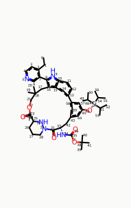 CCc1ccncc1-c1[nH]c2ccc3cc2c1CC(C)(C)COC(=O)[C@@H]1CCCN(N1)C(=O)[C@@H](NC(=O)OC(C)(C)C)Cc1cc(O[Si](C(C)C)(C(C)C)C(C)C)cc-3c1